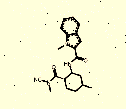 CC1CC[C@@H](C(=O)N(C)C#N)[C@@H](NC(=O)c2cc3ccccc3n2C)C1